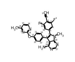 C#Cc1c(F)cc(-c2c(-c3ccc(Oc4nccc(C)n4)cc3)c3c(N)ncnc3n2C)cc1F